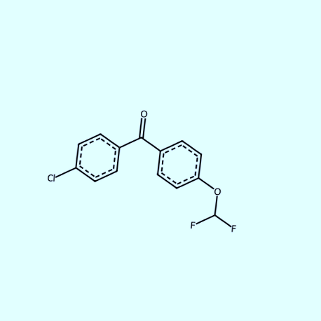 O=C(c1ccc(Cl)cc1)c1ccc(OC(F)F)cc1